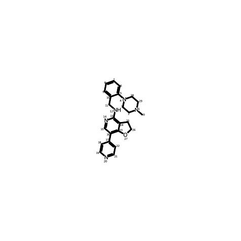 CN1CCN(c2cc[c]cc2CNc2ncc(-c3ccncc3)c3c2CCO3)CC1